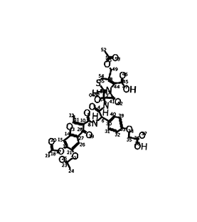 CO[C@@]1(NC(=O)C(NC(=O)c2c(C)oc3cc(OC(C)=O)c(OC(C)=O)cc3c2=O)c2ccc(OCC(=O)O)cc2)C(=O)N2C(C(=O)O)=C(COC(C)=O)CS[C@H]21